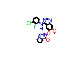 COc1cc2ncnc(Nc3cccc(Cl)c3F)c2cc1ONC(=O)[C@H]1CCCN1C